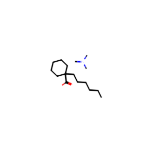 CCCCCCC1(C(=O)O)CCCCC1.CN(C)C